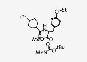 CCOc1ccc(C[C@H](NC(=O)C2CCC(C(C)C)CC2)C(=O)OC)cc1.CNC(=O)OC(C)(C)C